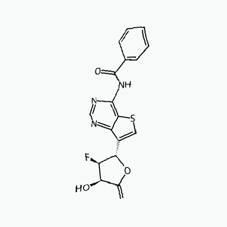 C=C1O[C@@H](c2csc3c(NC(=O)c4ccccc4)ncnc23)[C@H](F)[C@@H]1O